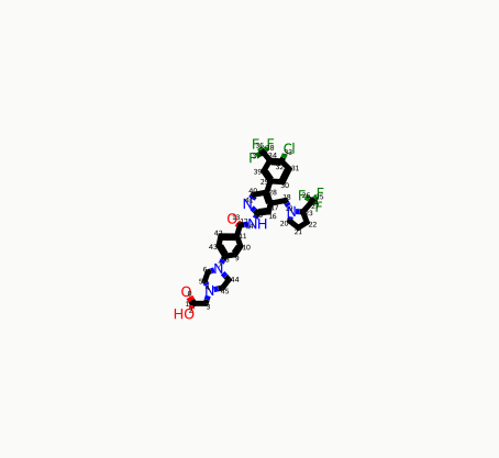 O=C(O)CN1CCN(c2ccc(C(=O)Nc3cc(CN4CCCC4C(F)(F)F)c(-c4ccc(Cl)c(C(F)(F)F)c4)cn3)cc2)CC1